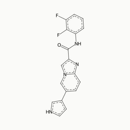 O=C(Nc1cccc(F)c1F)c1cn2cc(-c3cc[nH]c3)ccc2n1